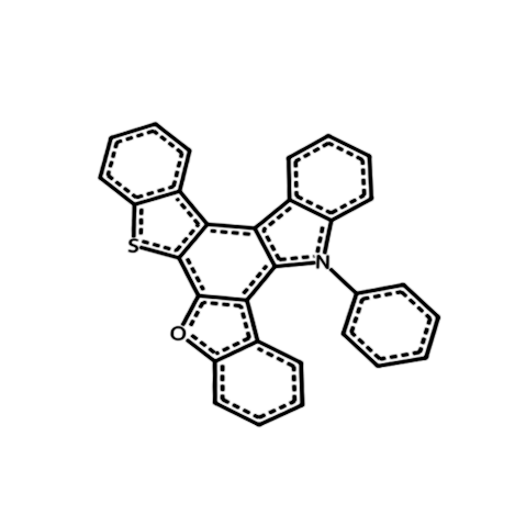 c1ccc(-n2c3ccccc3c3c4c5ccccc5sc4c4oc5ccccc5c4c32)cc1